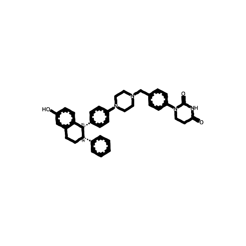 O=C1CCN(c2ccc(CN3CCN(c4ccc([C@H]5c6ccc(O)cc6CC[C@H]5c5ccccc5)cc4)CC3)cc2)C(=O)N1